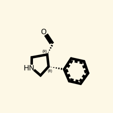 O=C[C@H]1CNC[C@H]1c1ccccc1